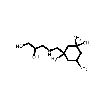 CC1(C)CC(N)CC(C)(CNCC(O)CO)C1